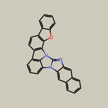 c1ccc2cc3c(cc2c1)nc1n3c2cccc3c4ccc5c6ccccc6oc5c4n1c32